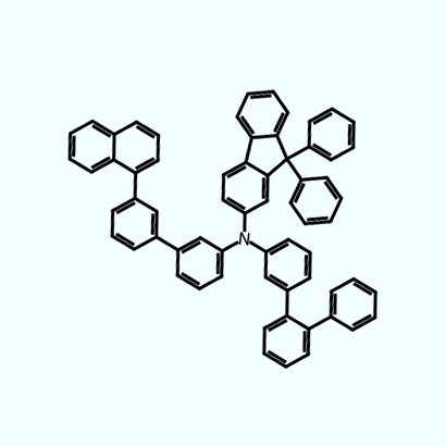 c1ccc(-c2ccccc2-c2cccc(N(c3cccc(-c4cccc(-c5cccc6ccccc56)c4)c3)c3ccc4c(c3)C(c3ccccc3)(c3ccccc3)c3ccccc3-4)c2)cc1